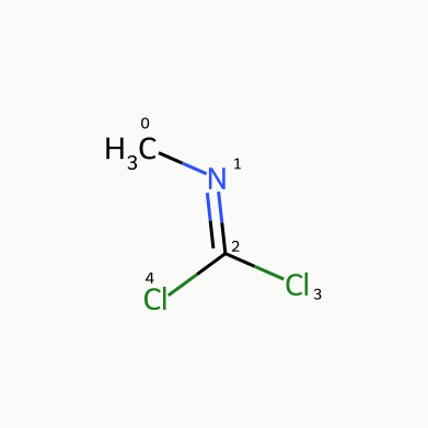 CN=C(Cl)Cl